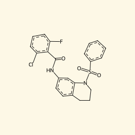 O=C(Nc1ccc2c(c1)N(S(=O)(=O)c1ccccc1)CCC2)c1c(F)cccc1Cl